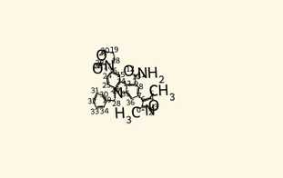 Cc1noc(C)c1-c1cc(C(N)=O)c2c3cc(N4CCCOC4=O)ccc3n(Cc3ccccc3)c2c1